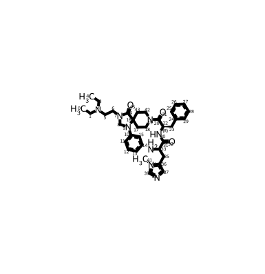 CCN(CC)CCN1CN(c2ccccc2)C2(CCN(C(=O)[C@@H](Cc3ccccc3)NC(=O)C(N)Cc3cncn3C)CC2)C1=O